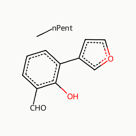 CCCCCC.O=Cc1cccc(-c2ccoc2)c1O